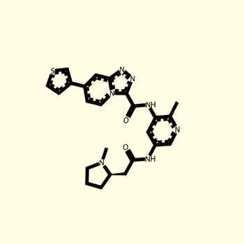 Cc1ncc(NC(=O)C[C@H]2CCCN2C)cc1NC(=O)c1nnc2cc(-c3ccsc3)ccn12